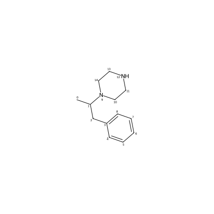 CC(Cc1[c]cccc1)N1CCNCC1